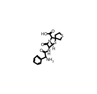 NC(C(=O)NC1C(=O)N2C(C(=O)O)C3(CCSC3)S[C@@H]12)c1ccccc1